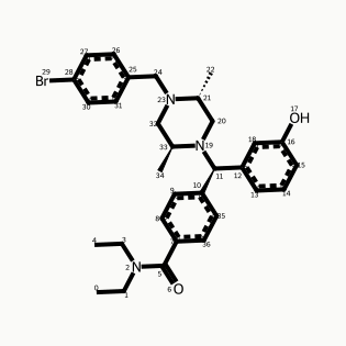 CCN(CC)C(=O)c1ccc([C@H](c2cccc(O)c2)N2C[C@@H](C)N(Cc3ccc(Br)cc3)C[C@@H]2C)cc1